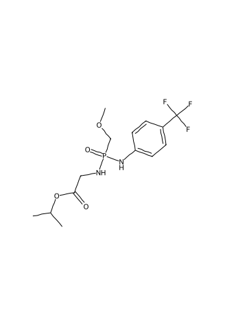 COCP(=O)(NCC(=O)OC(C)C)Nc1ccc(C(F)(F)F)cc1